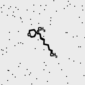 C=CCCC/C=C/C[N+]1(C)CCOCC1